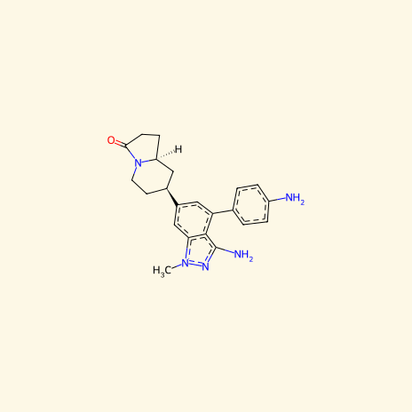 Cn1nc(N)c2c(-c3ccc(N)cc3)cc([C@H]3CCN4C(=O)CC[C@H]4C3)cc21